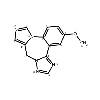 COc1ccc2c(c1)-c1ncnn1Cc1cncn1-2